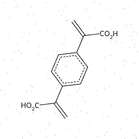 C=C(C(=O)O)c1ccc(C(=C)C(=O)O)cc1